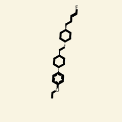 CCOc1ccc([C@H]2CC[C@H](CC[C@H]3CC[C@H](CCC=CF)CC3)CC2)cc1